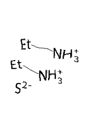 CC[NH3+].CC[NH3+].[S-2]